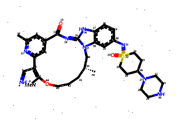 CN/C1=C(\C=N)c2cc(cc(C)n2)C(=O)/N=C2\Nc3ccc(N=S4(=O)CCC(N5CCNCC5)CC4)cc3N2C[C@H](C)CCCO1